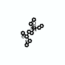 C1=C(c2cccc3c2sc2ccccc23)C=C(c2cccc3c(-c4nc(-c5ccc6ccccc6c5)nc(-c5cccc6c5oc5ccccc56)n4)cccc23)C2c3ccccc3OC12